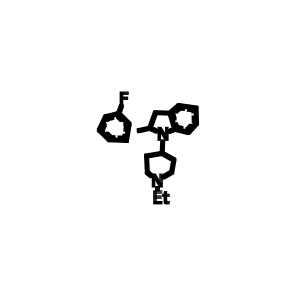 CCN1CCC(N2c3ccccc3CC2C)CC1.Fc1ccccc1